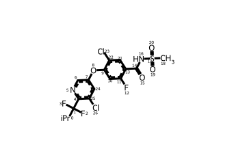 CC(C)C(F)(F)c1ncc(Oc2cc(F)c(C(=O)NS(C)(=O)=O)cc2Cl)cc1Cl